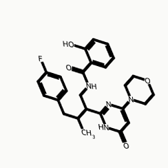 CC(Cc1ccc(F)cc1)C(CNC(=O)c1ccccc1O)c1nc(N2CCOCC2)cc(=O)[nH]1